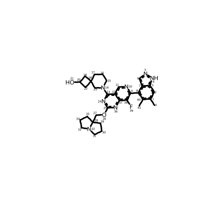 Cc1cc2[nH]ncc2c(-c2ncc3c(N4CCCC5(CC(O)C5)C4)nc(OCC45CCCN4CCC5)nc3c2F)c1C